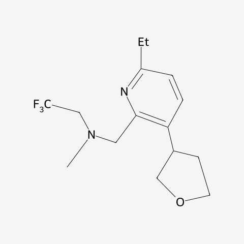 CCc1ccc(C2CCOC2)c(CN(C)CC(F)(F)F)n1